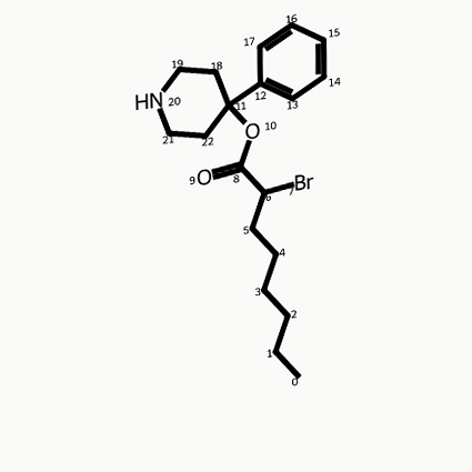 CCCCCCC(Br)C(=O)OC1(c2ccccc2)CCNCC1